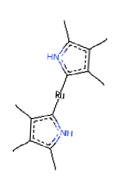 Cc1[nH][c]([Ru][c]2[nH]c(C)c(C)c2C)c(C)c1C